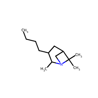 CCCCC1CC2CN(C1C)C2(C)C